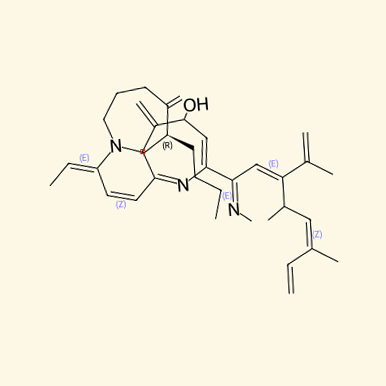 C=C/C(C)=C\C(C)/C(=C\C(=N/C)C1=CC(O)C(=C)CC(/C=C\C(=C/C)N2CCCC(=C)[C@@H](CCCC)C2)=N1)C(=C)C